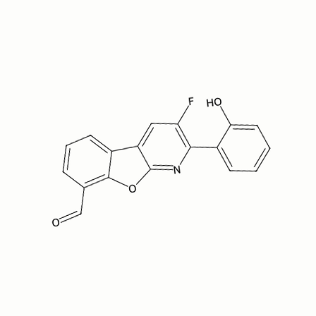 O=Cc1cccc2c1oc1nc(-c3ccccc3O)c(F)cc12